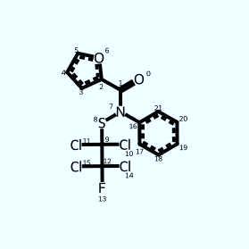 O=C(c1ccco1)N(SC(Cl)(Cl)C(F)(Cl)Cl)c1ccccc1